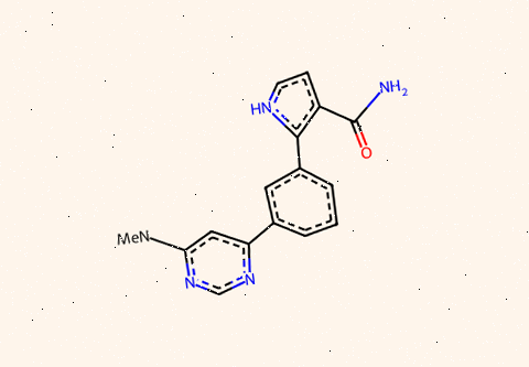 CNc1cc(-c2cccc(-c3[nH]ccc3C(N)=O)c2)ncn1